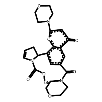 CC(C)(C)OC(=O)N1C=CCC1c1cc(C(=O)N2CCOCC2)cc2c(=O)cc(N3CCOCC3)oc12